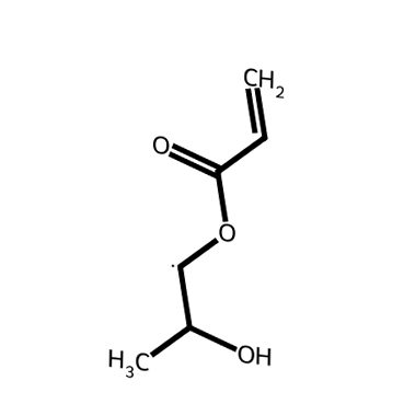 C=CC(=O)O[CH]C(C)O